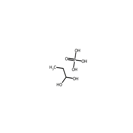 CCC(O)O.O=P(O)(O)O